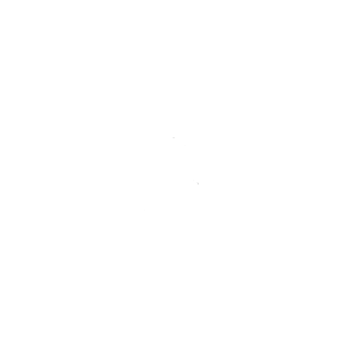 CN1CCC[CH]C1OC(F)(F)F